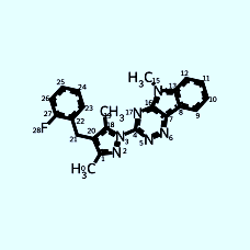 Cc1nn(-c2nnc3c4ccccc4n(C)c3n2)c(C)c1Cc1ccccc1F